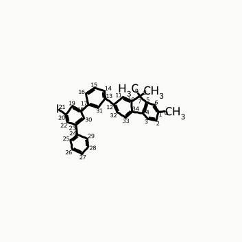 Cc1ccc2c(c1)C(C)(C)c1cc(-c3cccc(-c4cc(I)cc(-c5ccccc5)c4)c3)ccc1-2